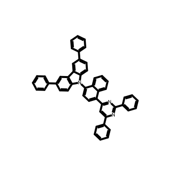 c1ccc(-c2ccc3c(c2)c2cc(-c4ccccc4)ccc2n3-c2ccc(-c3cc(-c4ccccc4)nc(-c4ccccc4)n3)c3ccccc23)cc1